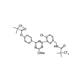 COc1nc(-c2ccc(OC(=O)C(C)(C)C(F)(F)F)cc2)nc(-c2cc(CNC(=O)C(C)(C)C(F)(F)F)ccc2Cl)n1